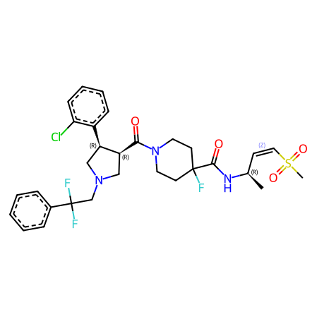 C[C@H](/C=C\S(C)(=O)=O)NC(=O)C1(F)CCN(C(=O)[C@H]2CN(CC(F)(F)c3ccccc3)C[C@H]2c2ccccc2Cl)CC1